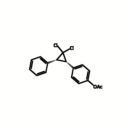 CC(=O)Oc1ccc([C@@H]2[C@H](c3ccccc3)C2(Cl)Cl)cc1